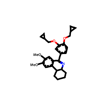 COc1cc2c(cc1OC)C1CC[CH]CC1N=C2c1ccc(OCC2CC2)c(OCC2CC2)c1